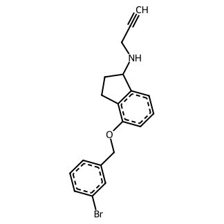 C#CCNC1CCc2c(OCc3cccc(Br)c3)cccc21